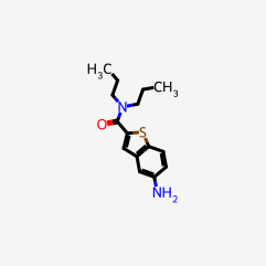 CCCN(CCC)C(=O)c1cc2cc(N)ccc2s1